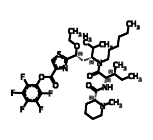 CCCCCCN(C(=O)[C@@H](NC(=O)[C@H]1CCCCN1C)[C@@H](C)CC)[C@H](C[C@@H](OCC)c1nc(C(=O)Oc2c(F)c(F)c(F)c(F)c2F)cs1)C(C)C